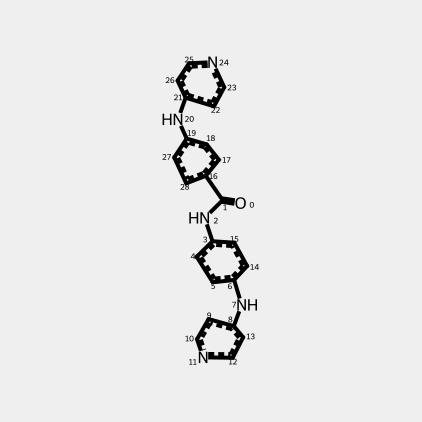 O=C(Nc1ccc(Nc2ccncc2)cc1)c1ccc(Nc2ccncc2)cc1